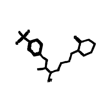 CCCN(CCCCN1CCCCC1=O)C(C)Cc1ccc(S(C)(=O)=O)cc1